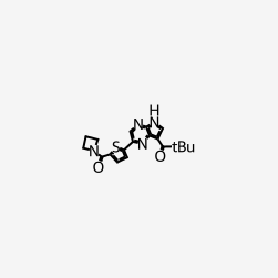 CC(C)(C)C(=O)c1c[nH]c2ncc(-c3ccc(C(=O)N4CCC4)s3)nc12